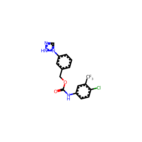 O=C(Nc1ccc(Cl)c(C(F)(F)F)c1)OCc1cccc(-n2cn[nH]2)c1